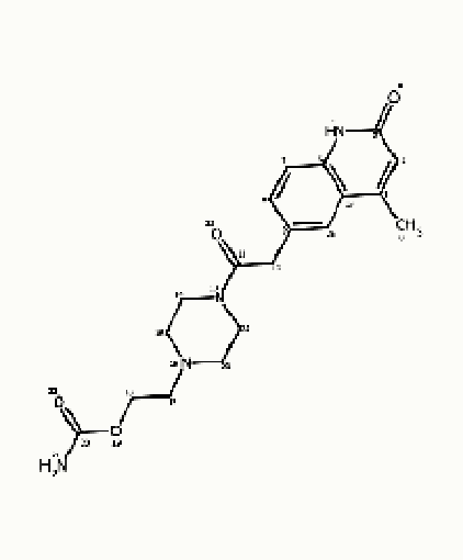 Cc1cc(=O)[nH]c2ccc(CC(=O)N3CCN(CCOC(N)=O)CC3)cc12